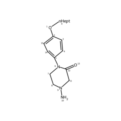 CCCCCCCOc1ccc(N2CCN(N)CC2=O)cc1